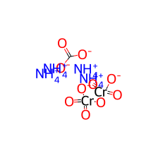 O=C([O-])[O-].[NH4+].[NH4+].[NH4+].[NH4+].[O]=[Cr](=[O])([O-])[O][Cr](=[O])(=[O])[O-]